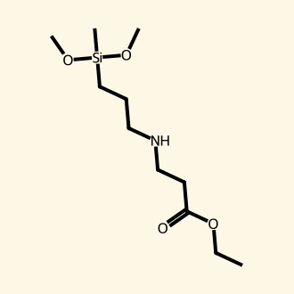 CCOC(=O)CCNCCC[Si](C)(OC)OC